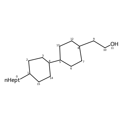 CCCCCCCC1CCC(C2CCC(CCO)CC2)CC1